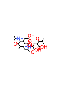 CC(C)NC(C(=O)C(C)CCC(C)NC(CC(C(=O)O)C(=O)C(C)C)C(=O)O)C(CC(=O)O)CC(=O)O